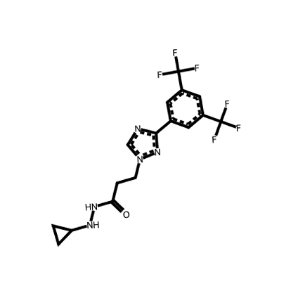 O=C(CCn1cnc(-c2cc(C(F)(F)F)cc(C(F)(F)F)c2)n1)NNC1CC1